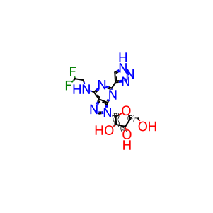 OC[C@H]1O[C@@H](n2cnc3c(NCC(F)F)nc(-c4c[nH]nn4)nc32)[C@H](O)[C@@H]1O